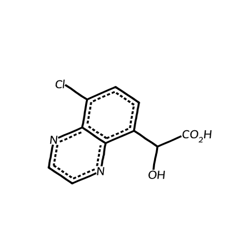 O=C(O)C(O)c1ccc(Cl)c2nccnc12